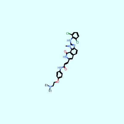 CCN(CC)CCOc1ccc(NC(=O)C=Cc2cc3ccc4nc(Nc5c(Cl)cccc5Cl)n(C)c4c3c(=O)[nH]2)cc1